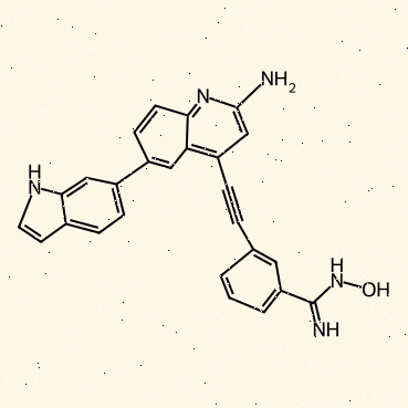 N=C(NO)c1cccc(C#Cc2cc(N)nc3ccc(-c4ccc5cc[nH]c5c4)cc23)c1